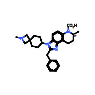 C[C@H]1CCc2c(ccc3c2nc(Cc2ccccc2)n3C2CCC3(CC2)CN(C)C3)N1C(=O)O